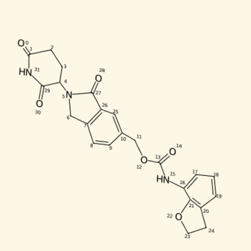 O=C1CCC(N2Cc3ccc(COC(=O)Nc4cccc5c4OCC5)cc3C2=O)C(=O)N1